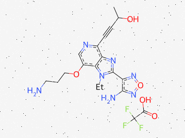 CCn1c(-c2nonc2N)nc2c(C#CC(C)O)ncc(OCCCN)c21.O=C(O)C(F)(F)F